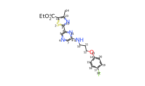 CCOC(=O)c1sc(-c2cncc(NCCCOc3ccc(F)cc3)n2)nc1C